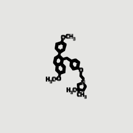 COc1ccc(-c2ccc3cc(OC)ccc3c2Cc2ccc(OCCN3CCC(C)(C)C3)cc2)cc1